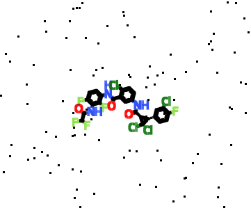 O=C(Nc1ccc(F)c(NC(=O)C(F)F)c1F)c1cc(NC(=O)[C@H]2[C@H](c3ccc(F)c(Cl)c3)C2(Cl)Cl)ccc1Cl